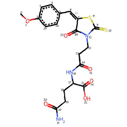 COc1ccc(/C=C2/SC(=S)N(CCC(=O)NC(CCC(N)=O)C(=O)O)C2=O)cc1